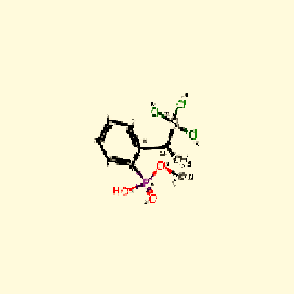 CCC(C)OP(=O)(O)c1ccccc1C(C)[Si](Cl)(Cl)Cl